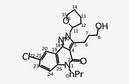 [CH2]CCn1c(=O)c2c(CCCO)n(C3CCCCO3)nc2c2cc(Cl)ccc21